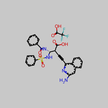 Nc1cc2ccccc2c(C#CC(C(=O)O)[C@@H](NC(=O)c2ccccc2)NS(=O)(=O)c2ccccc2)n1.O=C(O)C(F)(F)F